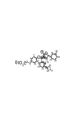 CCOC(=O)CCc1ccc(OC)c(-c2ccc(N3CCC3)nc2CN2C(=O)OC(c3cccc(C)c3)C2C)c1